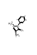 Cn1cc(N)c(=O)n1-c1ccccc1